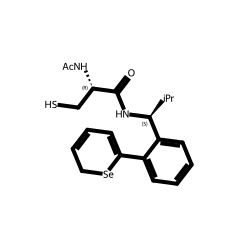 CC(=O)N[C@@H](CS)C(=O)N[C@H](c1ccccc1C1=CC=CC[Se]1)C(C)C